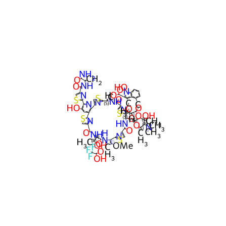 C=C(NC(=O)c1csc(-c2nc3c(cc2O)-c2nc(cs2)C(=O)N[C@@H]([C@@H](C)O)C(=O)N/C(=C(\C)OC)c2nc(cs2)C(=O)N[C@@H]2c4nc(cs4)C(=O)N[C@@H](COC(=O)c4c5c6c(cccc6n4O)COC(=O)[C@@H](O[C@H]4C[C@](C)(O)[C@H](N(C)C)[C@H](C)O4)[C@H]2OC5)c2nc-3cs2)n1)C(N)=O.O=C(O)C(F)(F)F